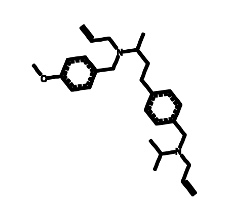 C=CCN(Cc1ccc(CCC(C)N(CC=C)Cc2ccc(OC)cc2)cc1)C(C)C